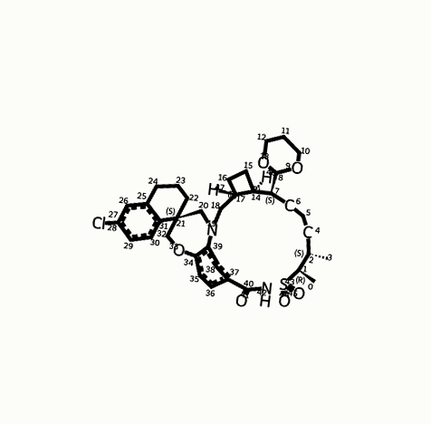 C[C@@H]1[C@@H](C)CCC[C@H](C2OCCCO2)[C@@H]2CC[C@H]2CN2C[C@@]3(CCCc4cc(Cl)ccc43)COc3ccc(cc32)C(=O)NS1(=O)=O